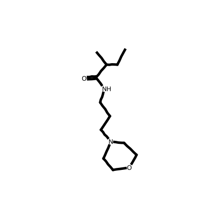 CCC(C)C(=O)NCCCN1CCOCC1